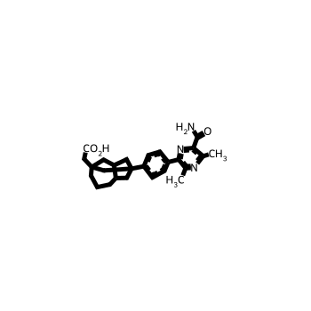 Cc1nc(C)c(-c2ccc(C34CC5CCCC(CC(=O)O)(CC5C3)C4)cc2)nc1C(N)=O